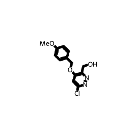 COc1ccc(COc2cc(Cl)nnc2CO)cc1